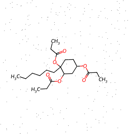 CCCCCCC1(OC(=O)CC)CCC(OC(=O)CC)CC1OC(=O)CC